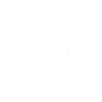 COc1c(-c2ccco2)oc2ccccc2c1=O